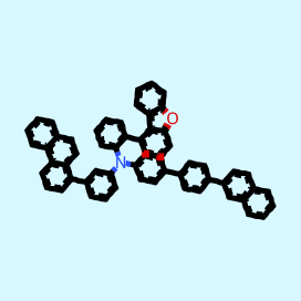 c1cc(-c2cccc3c2ccc2ccccc23)cc(N(c2ccc(-c3ccc(-c4ccc5ccccc5c4)cc3)cc2)c2ccccc2-c2cccc3oc4ccccc4c23)c1